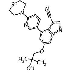 CC(C)(O)COc1cc(-c2ccc(N3CCSCC3)nc2)c2c(C#N)cnn2c1